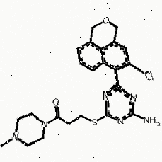 CN1CCN(C(=O)CCSc2nc(N)nc(-c3c(Cl)cc4c5c(cccc35)COC4)n2)CC1